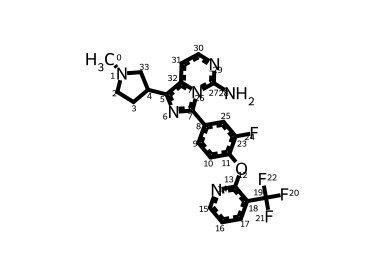 CN1CCC(c2nc(-c3ccc(Oc4ncccc4C(F)(F)F)c(F)c3)n3c(N)nccc23)C1